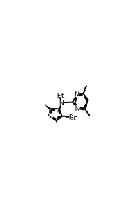 CCN(c1nc(C)cc(C)n1)c1c(Br)csc1C